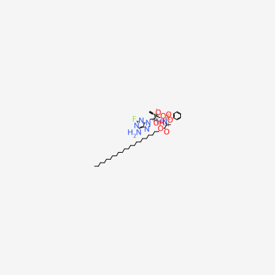 C#C[C@](COP(=O)(N[C@@H](C)C(=O)OCCCCCCCCCCCCCCCCCCCCCC)Oc1ccccc1)(OC)[C@@H](O)Cn1cnc2c(N)nc(F)nc21